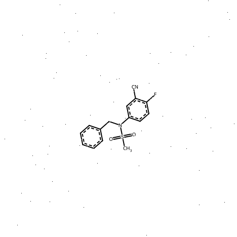 CS(=O)(=O)N(Cc1ccccc1)c1ccc(F)c(C#N)c1